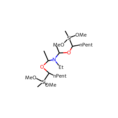 CCCCCC(OC(C)N(CC)C(C)OC(CCCCC)[Si](C)(OC)OC)[Si](C)(OC)OC